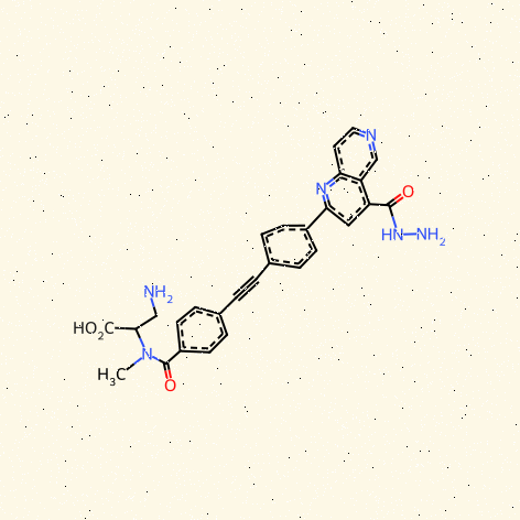 CN(C(=O)c1ccc(C#Cc2ccc(-c3cc(C(=O)NN)c4cnccc4n3)cc2)cc1)C(CN)C(=O)O